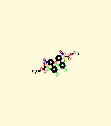 CCOC(=O)CSc1c([N+](=O)[O-])ccc(Oc2ccc([N+](=O)[O-])c(SCC(=O)OCC)c2-c2c(Cl)cc(Cl)cc2Cl)c1-c1c(Cl)cc(Cl)cc1Cl